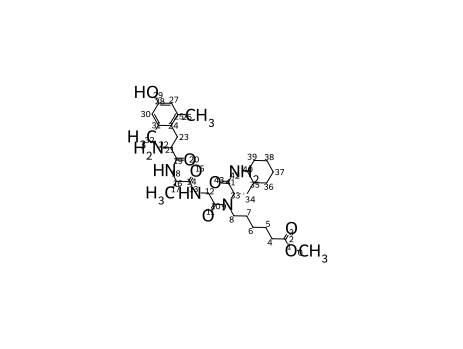 COC(=O)CCCCCN(C(=O)CNC(=O)[C@@H](C)NC(=O)[C@@H](N)Cc1c(C)cc(O)cc1C)[C@@H](CC1CCCCC1)C(N)=O